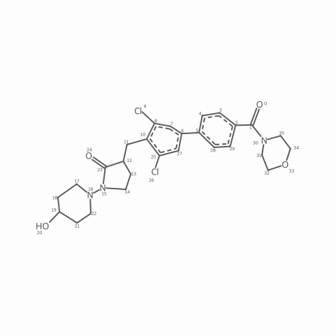 O=C(c1ccc(-c2cc(Cl)c(CC3CCN(N4CCC(O)CC4)C3=O)c(Cl)c2)cc1)N1CCOCC1